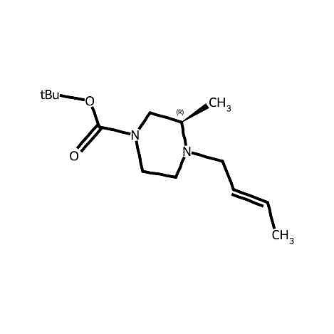 CC=CCN1CCN(C(=O)OC(C)(C)C)C[C@H]1C